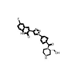 O=C(c1ccc(-n2cc(-c3cc4cc(F)ccc4[nH]c3=O)nn2)cc1)N1CCNC[C@H]1CO